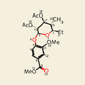 CC[C@H]1O[C@@H](Oc2ccc(C(=O)OC)cc2OC)[C@H](OC(C)=O)[C@@H](OC(C)=O)[C@@H]1C